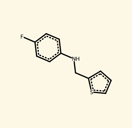 Fc1ccc(NCc2cccs2)cc1